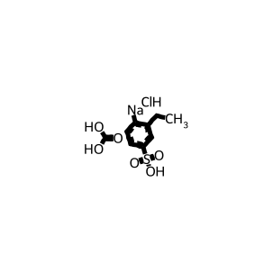 CCc1cc(S(=O)(=O)O)cc[c]1[Na].Cl.O=C(O)O